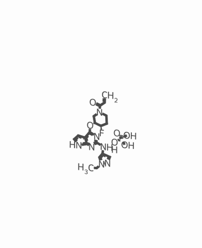 C=CC(=O)N1CC[C@@H](F)[C@@H](Oc2nc(Nc3cnn(CC)c3)nc3[nH]ccc23)C1.O=P(O)(O)O